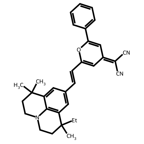 CCC1(C)CCN2CCC(C)(C)c3cc(/C=C/C4=CC(=C(C#N)C#N)C=C(c5ccccc5)O4)cc1c32